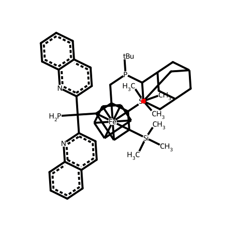 CC(C)(C)P(C[C]12[C]3(C(P)(c4ccc5ccccc5n4)c4ccc5ccccc5n4)[CH]4[C]5([Si](C)(C)C)[C]1([Si](C)(C)C)[Fe]42351678[CH]2[CH]1[CH]6[CH]7[CH]28)C1C2CC3CC(C2)CC1C3